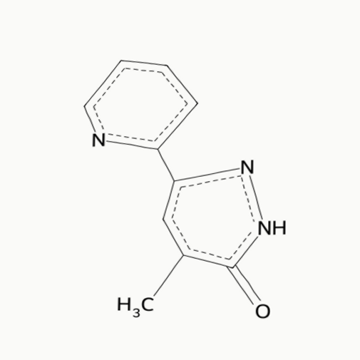 Cc1cc(-c2ccccn2)n[nH]c1=O